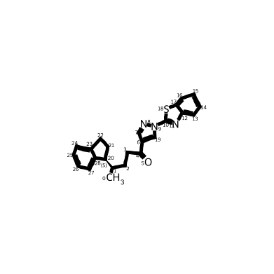 CC(CCC(=O)c1cnn(-c2nc3ccccc3s2)c1)[C@@H]1CCc2ccccc21